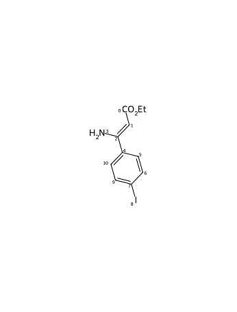 CCOC(=O)C=C(N)c1ccc(I)cc1